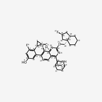 C[C@@H]1C[C@@H]1c1c(F)cc(O)cc1-c1ncc2c(N3CC4CCC3CN4)nc(OC[C@@]34CCCCN3C[C@H](F)C4)nc2c1F